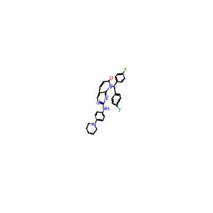 O=c1ccc2cnc(Nc3ccc(N4CCCCC4)cc3)nc2n1C(c1ccc(F)cc1)c1ccc(F)cc1